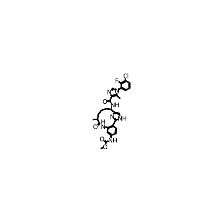 COC(=O)Nc1ccc2c(c1)NC(=O)C(C)CCC[C@@H](NC(=O)c1ncn(-c3cccc(Cl)c3F)c1C)c1c[nH]c-2n1